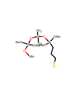 CCCCO[Si](OC)(OC)O[Si](C)(C)O[Si](CCCS)(OC)OC